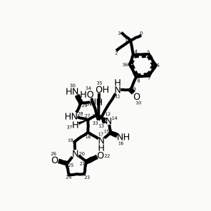 CC(C)(C)c1cccc(C(=O)NC2CN3C(=N)NC(CN4C(=O)CCC4=O)[C@@H]4NC(=N)N[C@@]43C2(O)O)c1